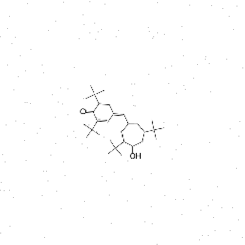 CC(C)(C)C1=C/C(=C\C2CC(C(C)(C)C)CC(O)C(C(C)(C)C)C2)CC(C(C)(C)C)C1=O